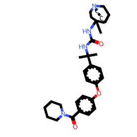 CC(C)(NC(=O)NC1(C)CCN2CCC1CC2)c1ccc(Oc2ccc(C(=O)N3CCCCC3)cc2)cc1